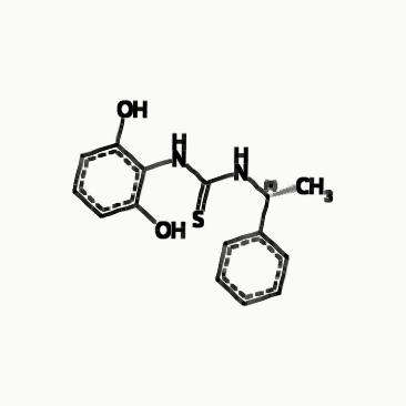 C[C@@H](NC(=S)Nc1c(O)cccc1O)c1ccccc1